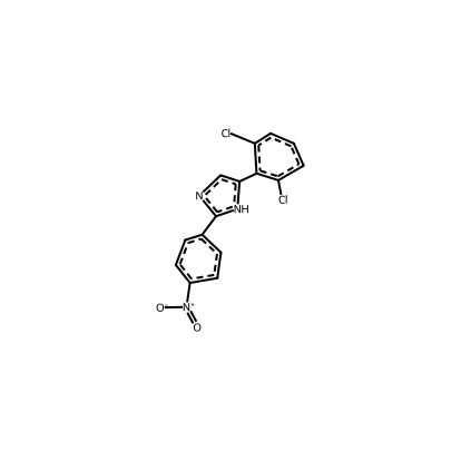 O=[N+]([O-])c1ccc(-c2ncc(-c3c(Cl)cccc3Cl)[nH]2)cc1